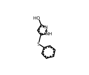 Oc1cc(Sc2ccccc2)[nH]n1